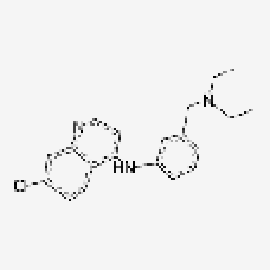 CCN(CC)Cc1cccc(Nc2ccnc3cc(Cl)ccc23)c1